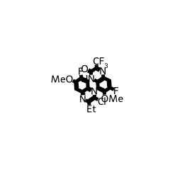 CCc1nc2cc(OC)c(F)cc2nc1Cl.COc1cc2[nH]c(=O)c(C(F)(F)F)nc2cc1F